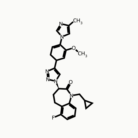 COC1=CC(c2cn([C@@H]3CCc4c(F)cccc4N(CC4CC4)C3=O)nn2)CC=C1n1cnc(C)c1